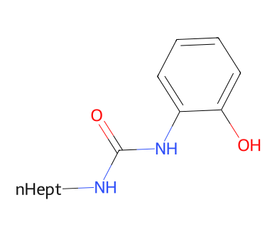 CCCCCCCNC(=O)Nc1ccccc1O